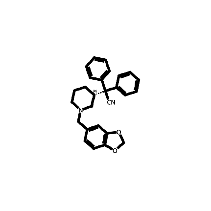 N#CC(c1ccccc1)(c1ccccc1)[C@H]1CCCN(Cc2ccc3c(c2)OCO3)C1